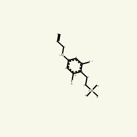 C=CCOc1cc(F)c([CH]C[Si](C)(C)C)c(F)c1